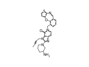 CC#CCn1c(N2CCCC(N)C2)nc2ccn(Cc3cccc4c3Oc3ccsc3N=C4)c(=O)c21